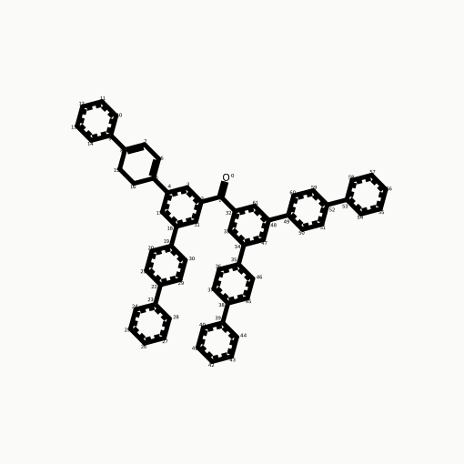 O=C(c1cc(C2=CC=C(c3ccccc3)CC2)cc(-c2ccc(-c3ccccc3)cc2)c1)c1cc(-c2ccc(-c3ccccc3)cc2)cc(-c2ccc(-c3ccccc3)cc2)c1